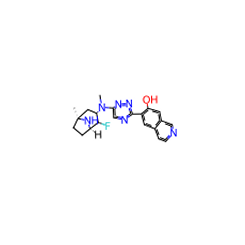 CN(c1cnc(-c2cc3ccncc3cc2O)nn1)[C@H]1C[C@]2(C)CC[C@@H](N2)[C@@H]1F